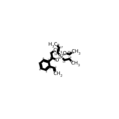 C=Cc1ccccc1C(CC)O[Si](CCC)(CCC)OCC